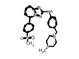 CN1CCN(Cc2ccc(Nc3nc4cccc(-c5ccc(S(C)(=O)=O)cc5)n4n3)cc2)CC1